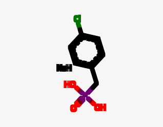 O=P(O)(O)Cc1ccc(Cl)cc1.[NaH]